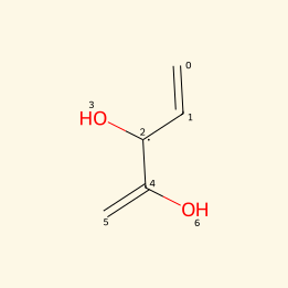 C=C[C](O)C(=C)O